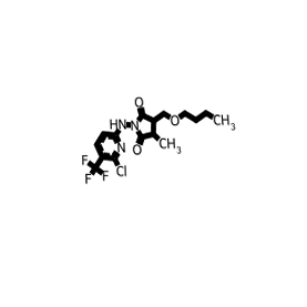 CCCCOCC1C(=O)N(Nc2ccc(C(F)(F)F)c(Cl)n2)C(=O)C1C